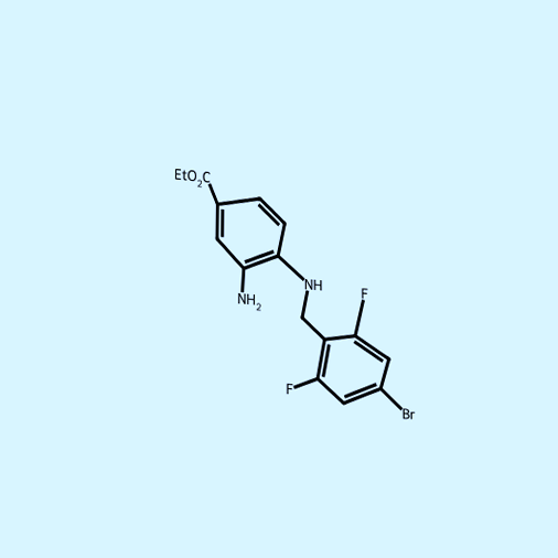 CCOC(=O)c1ccc(NCc2c(F)cc(Br)cc2F)c(N)c1